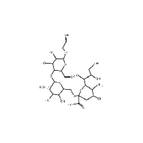 NC1C(O)CC(OCC2OC(OC3C(CO)OC(OCCS)C(O)C3O)[C@@H](O)C(O)C2O)(C(=O)O)OC1C(O)C(O)CO